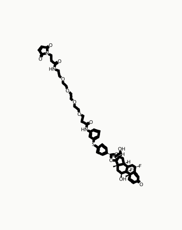 C[C@]12C=CC(=O)C=C1[C@@H](F)CC1[C@@H]3C[C@H]4O[C@@H](c5ccc(Sc6cccc(NC(=O)CCOCCOCCOCCOCCNC(=O)CCN7C(=O)C=CC7=O)c6)cc5)O[C@@]4(C(=O)CO)[C@@]3(C)C[C@H](O)[C@@]12F